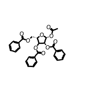 CC(=O)O[C@H]1O[C@@H](COC(=O)c2ccccc2)C(OC(=O)c2ccccc2)[C@@H]1OC(=O)c1ccccc1